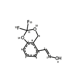 ON=Cc1cccc2c1COC(F)(F)O2